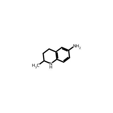 CC1CCc2cc(N)ccc2N1